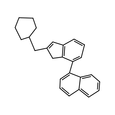 C1=C(CC2CCCCC2)Cc2c1cccc2-c1cccc2ccccc12